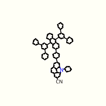 N#Cc1cc2ccc3cc(-c4ccc(-c5ccc6c(-c7cc(-c8ccccc8)cc(-c8ccccc8)c7)c7ccccc7c(-c7cc(-c8ccccc8)cc(-c8ccccc8)c7)c6c5)cc4)cc4c3c2c(c1)n4-c1ccccc1